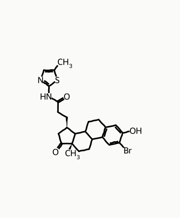 Cc1cnc(NC(=O)CC[C@@H]2CC(=O)[C@@]3(C)CCC4c5cc(Br)c(O)cc5CCC4C23)s1